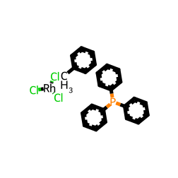 Cc1ccccc1.[Cl][Rh]([Cl])[Cl].c1ccc(P(c2ccccc2)c2ccccc2)cc1